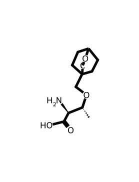 C[C@@H](OCC12CCC(CC1)OC2)[C@H](N)C(=O)O